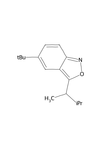 CC(C)C(C)c1onc2ccc(C(C)(C)C)cc12